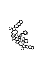 O=C1C(=Cc2cc3c(s2)-c2sc4cc(C=C5C(=O)c6cc7cc8ccccc8cc7cc6C5=O)sc4c2C3(C(=O)OCc2ccccc2)C(=O)OCc2ccccc2)C(=O)c2cc3cc4ccccc4cc3cc21